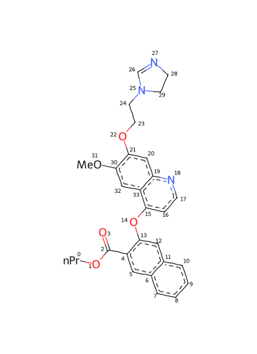 CCCOC(=O)c1cc2ccccc2cc1Oc1ccnc2cc(OCCN3C=NCC3)c(OC)cc12